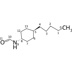 CCCCC[C@H]1CC[C@H](NC=O)CC1